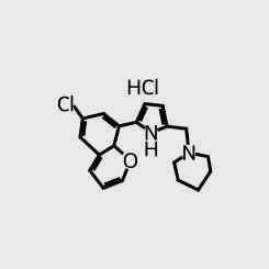 Cl.ClC1=CC2=CC=COC2C(c2ccc(CN3CCCCC3)[nH]2)=C1